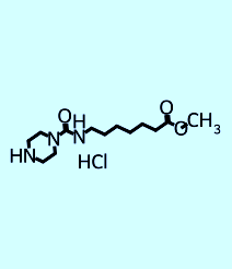 COC(=O)CCCCCCNC(=O)N1CCNCC1.Cl